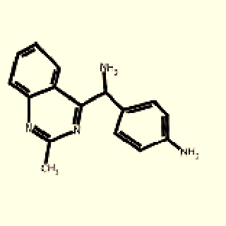 Cc1nc(C(N)c2ccc(N)cc2)c2ccccc2n1